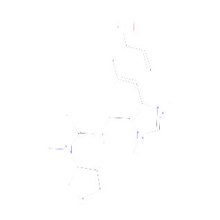 CN(C(=O)OCc1c(-c2ccc(O)cc2)ncn1C)C1CCCC1